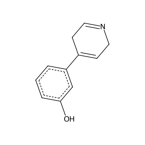 Oc1cccc(C2=CCN=CC2)c1